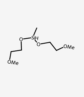 COCCO[SiH](C)OCCOC